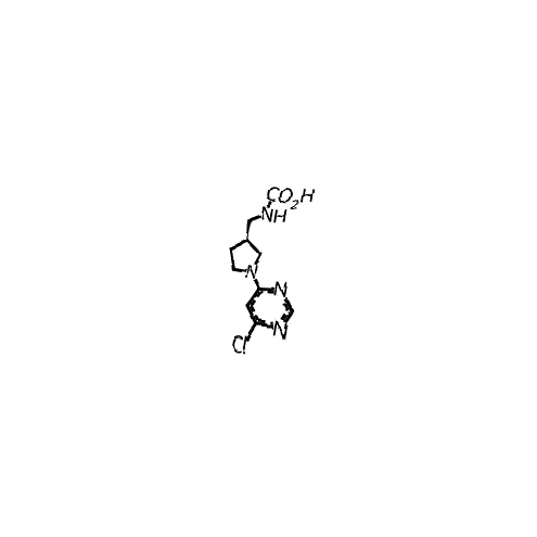 O=C(O)NC[C@@H]1CCN(c2cc(Cl)ncn2)C1